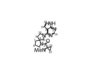 CNC1(C(=O)N2CCCC23CCN(c2ncnc4[nH]ccc24)C3)CC1